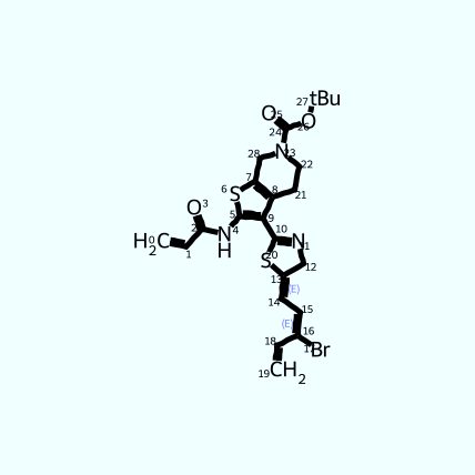 C=CC(=O)Nc1sc2c(c1C1=NC/C(=C\C=C(\Br)C=C)S1)CCN(C(=O)OC(C)(C)C)C2